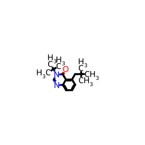 CC(C)(C)Cc1cccc2ncn(C(C)(C)C)c(=O)c12